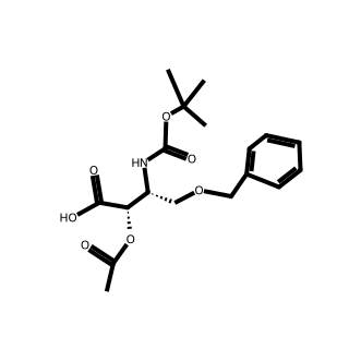 CC(=O)O[C@H](C(=O)O)[C@@H](COCc1ccccc1)NC(=O)OC(C)(C)C